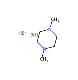 Br.Br.CN1CCN(C)CC1